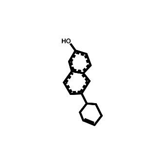 Oc1ccc2cc(C3CC=CCC3)ccc2c1